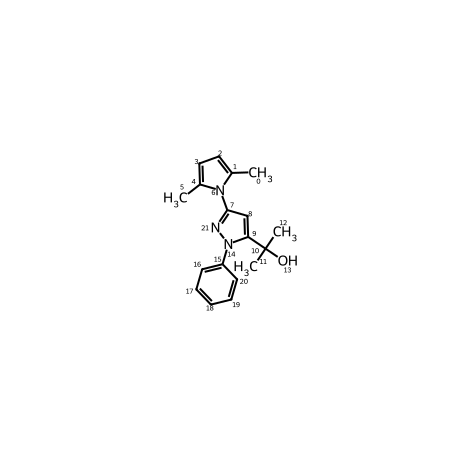 Cc1ccc(C)n1-c1cc(C(C)(C)O)n(-c2ccccc2)n1